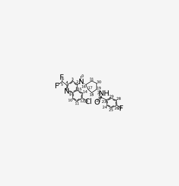 CN(c1cc(C(F)F)nc2ccc(Cl)cc12)[C@H]1CC[C@@H](NC(=O)c2ccc(F)cc2)CC1